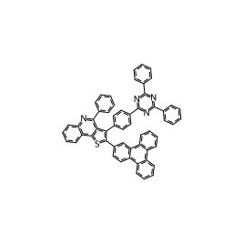 c1ccc(-c2nc(-c3ccccc3)nc(-c3ccc(-c4c(-c5ccc6c7ccccc7c7ccccc7c6c5)sc5c4c(-c4ccccc4)nc4ccccc45)cc3)n2)cc1